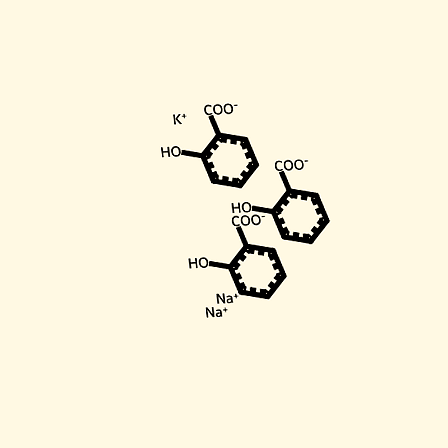 O=C([O-])c1ccccc1O.O=C([O-])c1ccccc1O.O=C([O-])c1ccccc1O.[K+].[Na+].[Na+]